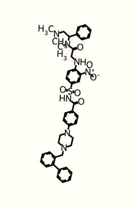 CN(C)CC(c1ccccc1)N(C)C(=O)CNc1ccc(S(=O)(=O)NC(=O)c2ccc(N3CCN(Cc4ccccc4-c4ccccc4)CC3)cc2)cc1[N+](=O)[O-]